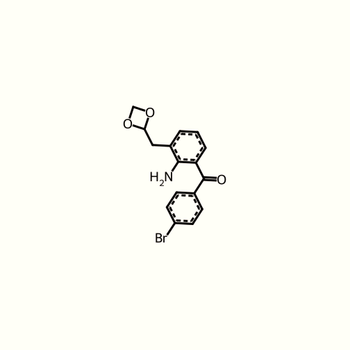 Nc1c(CC2OCO2)cccc1C(=O)c1ccc(Br)cc1